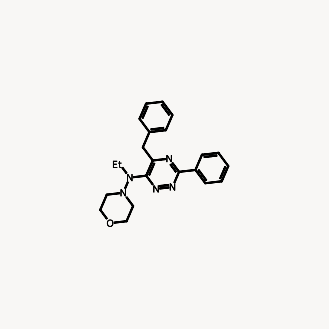 CCN(c1nnc(-c2ccccc2)nc1Cc1ccccc1)N1CCOCC1